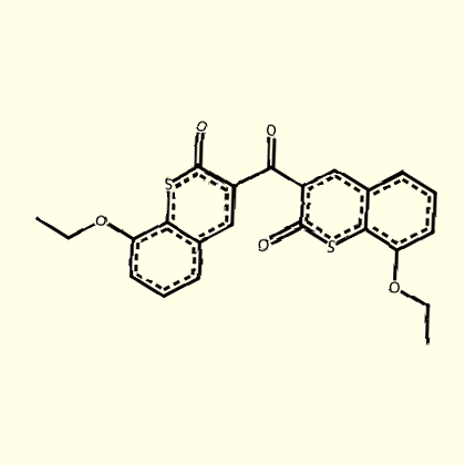 CCOc1cccc2cc(C(=O)c3cc4cccc(OCC)c4sc3=O)c(=O)sc12